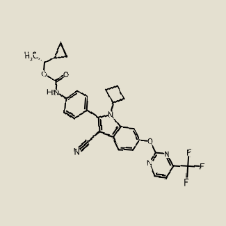 C[C@@H](OC(=O)Nc1ccc(-c2c(C#N)c3ccc(Oc4nccc(C(F)(F)F)n4)cc3n2C2CCC2)cc1)C1CC1